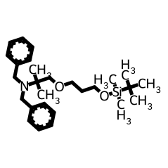 CC(C)(COCCCO[Si](C)(C)C(C)(C)C)N(Cc1ccccc1)Cc1ccccc1